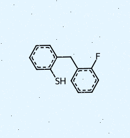 Fc1ccccc1Cc1ccccc1S